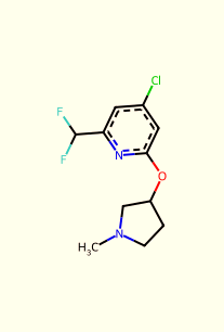 CN1CCC(Oc2cc(Cl)cc(C(F)F)n2)C1